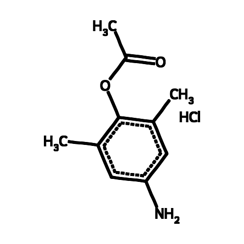 CC(=O)Oc1c(C)cc(N)cc1C.Cl